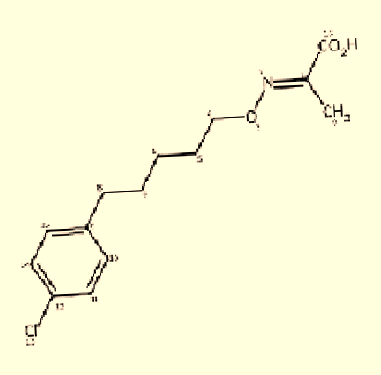 C/C(=N\OCCCCCc1ccc(Cl)cc1)C(=O)O